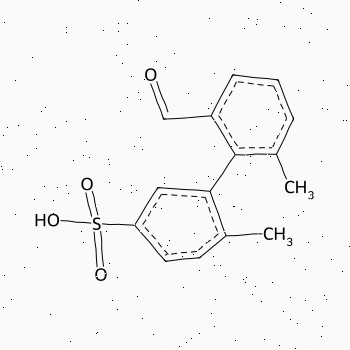 Cc1ccc(S(=O)(=O)O)cc1-c1c(C)cccc1C=O